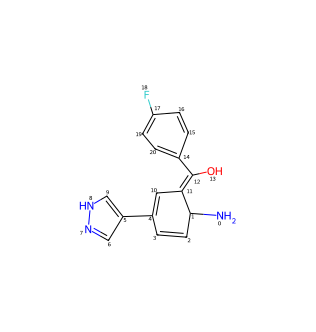 NC1C=CC(c2cn[nH]c2)=C/C1=C(/O)c1ccc(F)cc1